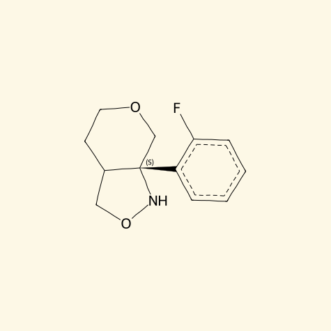 Fc1ccccc1[C@]12COCCC1CON2